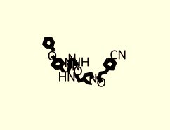 N#Cc1ccc(CCC(=O)N2CCC(CC(=O)N[C@@H](Cc3ccc(OCc4ccccc4)cc3)c3nn[nH]n3)CC2)cc1